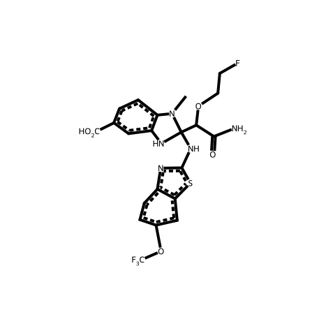 CN1c2ccc(C(=O)O)cc2NC1(Nc1nc2ccc(OC(F)(F)F)cc2s1)C(OCCF)C(N)=O